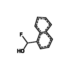 OC(F)c1cccc2ccccc12